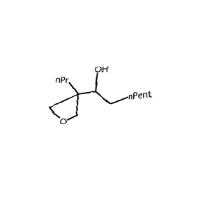 CCCCCCC(O)C1(CCC)COC1